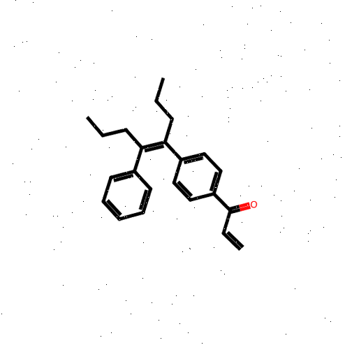 C=CC(=O)c1ccc(C(CCC)=C(CCC)c2ccccc2)cc1